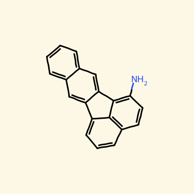 Nc1ccc2cccc3c2c1-c1cc2ccccc2cc1-3